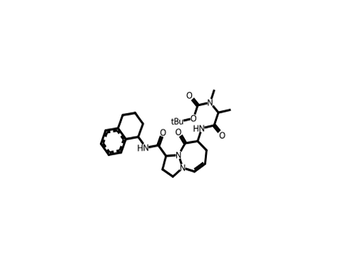 CC(C(=O)NC1CC=CN2CCC(C(=O)NC3CCCc4ccccc43)N2C1=O)N(C)C(=O)OC(C)(C)C